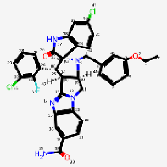 CCOc1cccc(CN2[C@H]3Cn4c(nc5cc(C(N)=O)ccc54)[C@H]3[C@H](c3cccc(Cl)c3F)[C@]23C(=O)Nc2cc(Cl)ccc23)c1